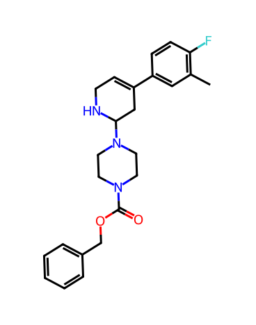 Cc1cc(C2=CCNC(N3CCN(C(=O)OCc4ccccc4)CC3)C2)ccc1F